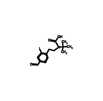 CC(C)(C)N(CCc1ccc(C=O)cc1I)C(=O)O